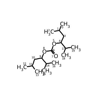 CC(C)CC(OC(=O)OC(CC(C)C)C(C)C)C(C)C